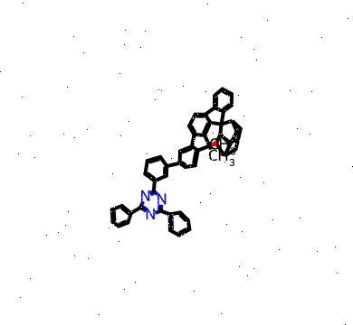 CC1(C)c2ccc(-c3cccc(-c4nc(-c5ccccc5)nc(-c5ccccc5)n4)c3)cc2-c2ccc3c(c21)C1(c2ccccc2-3)C2CC3CC(C2)CC1C3